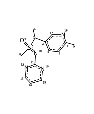 Cc1ccc(C(C)S(C)(=O)=Nc2ncccn2)cn1